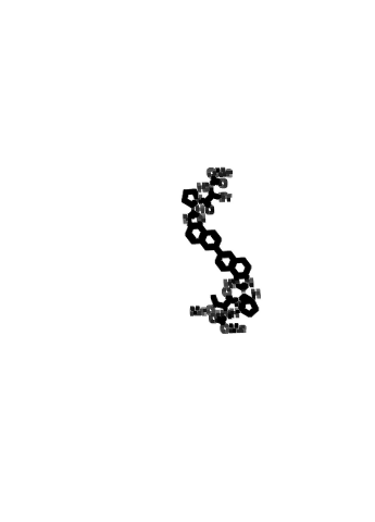 COC(=O)NC(C(=O)N1CCC[C@H]1c1nc2ccc3cc(-c4ccc5c(c4)CCc4nc([C@@H]6[C@H]7CC[C@H](C7)N6C(=O)[C@@H](NC(=O)OC)[C@@H](C)OC)[nH]c4-5)ccc3c2[nH]1)C(C)C